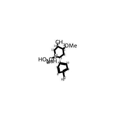 COC1C[C@H](c2ccc(F)cc2)N(C(=O)O)C[C@H]1C.[NaH]